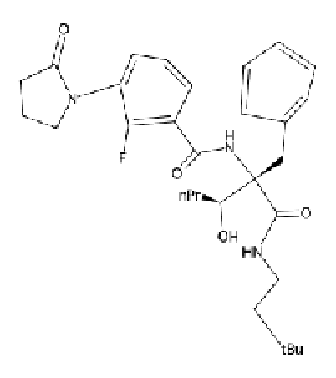 CCC[C@H](O)[C@](Cc1ccccc1)(NC(=O)c1cccc(N2CCCC2=O)c1F)C(=O)NCCC(C)(C)C